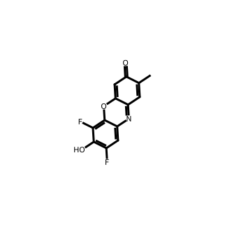 Cc1cc2nc3cc(F)c(O)c(F)c3oc-2cc1=O